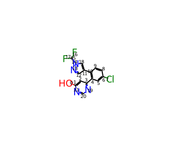 Oc1cc(-c2cc(Cl)ccc2-c2cnn(C(F)F)c2)ncn1